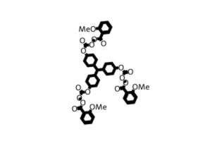 COc1ccccc1C(=O)OOC(=O)OC1CCC(C(C2CCC(OC(=O)OOC(=O)c3ccccc3OC)CC2)C2CCC(OC(=O)OOC(=O)c3ccccc3OC)CC2)CC1